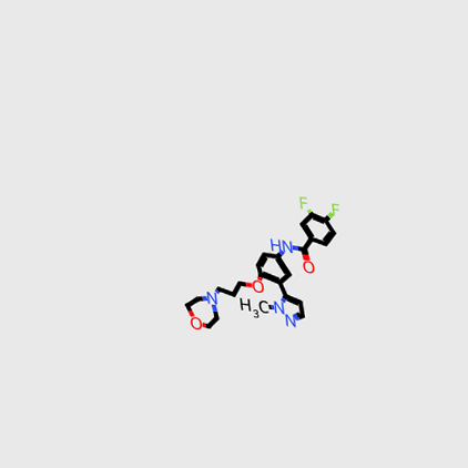 Cn1nccc1-c1cc(NC(=O)c2ccc(F)c(F)c2)ccc1OCCCN1CCOCC1